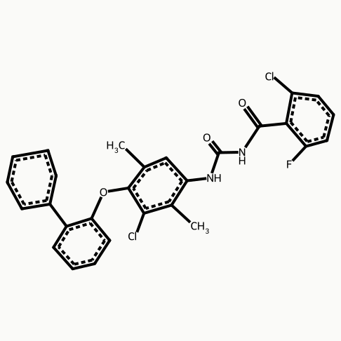 Cc1cc(NC(=O)NC(=O)c2c(F)cccc2Cl)c(C)c(Cl)c1Oc1ccccc1-c1ccccc1